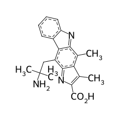 CC1=C(C(=O)O)N=c2c(CC(C)(C)N)c3c(c(C)c21)=Nc1ccccc1-3